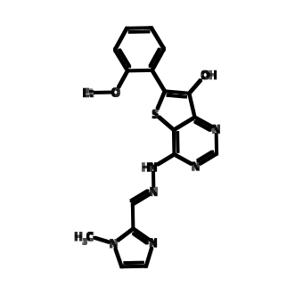 CCOc1ccccc1-c1sc2c(NN=Cc3nccn3C)ncnc2c1O